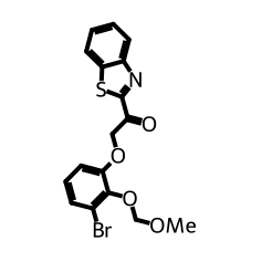 COCOc1c(Br)cccc1OCC(=O)c1nc2ccccc2s1